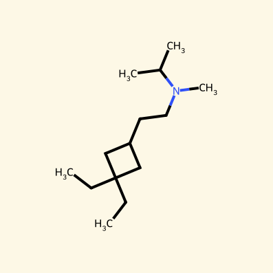 CCC1(CC)CC(CCN(C)C(C)C)C1